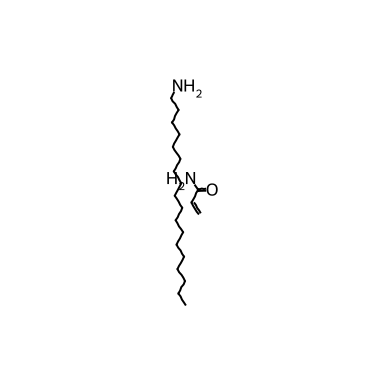 C=CC(N)=O.CCCCCCCCCCCCCCCCCCN